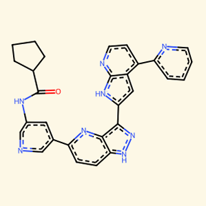 O=C(Nc1cncc(-c2ccc3[nH]nc(-c4cc5c(-c6ccccn6)ccnc5[nH]4)c3n2)c1)C1CCCC1